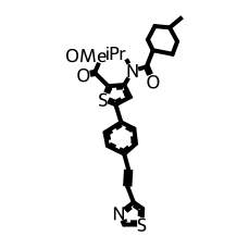 COC(=O)c1sc(-c2ccc(C#Cc3cscn3)cc2)cc1N(C(=O)C1CCC(C)CC1)C(C)C